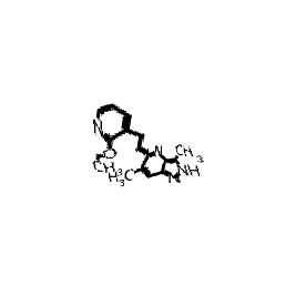 CCOc1ncccc1CCc1nc2c(C)[nH]nc2cc1C